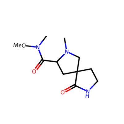 CON(C)C(=O)C1CC2(CCNC2=O)CN1C